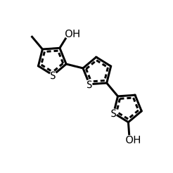 Cc1csc(-c2ccc(-c3ccc(O)s3)s2)c1O